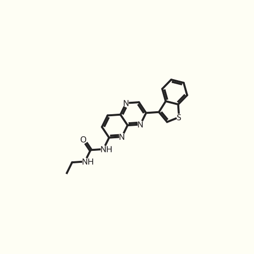 CCNC(=O)Nc1ccc2ncc(-c3csc4ccccc34)nc2n1